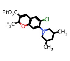 CCOC(=O)C1=Cc2cc(Cl)c(N3CC(C)CC(C)C3)cc2OC1C(F)(F)F